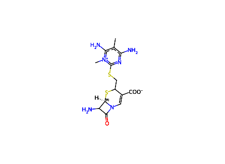 Cc1c(N)nc(SCC2S[C@@H]3C(N)C(=O)N3C=C2C(=O)[O-])[n+](C)c1N